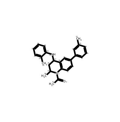 CC(=O)N1c2ccc(-c3cccc(C)c3)cc2C(Nc2ccccc2C)CC1C